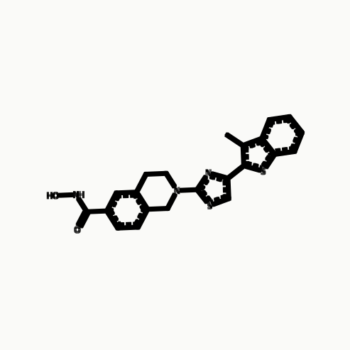 Cc1c(-c2csc(N3CCc4cc(C(=O)NO)ccc4C3)n2)sc2ccccc12